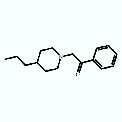 CCCC1CCN(CC(=O)c2ccccc2)CC1